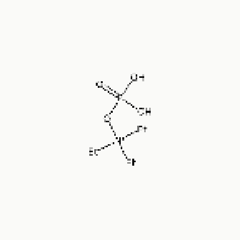 CC[N+](CC)(CC)OP(=O)(O)O